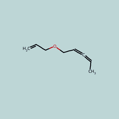 C=CCOCC=C=CC